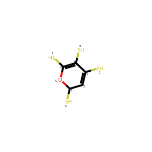 SC1=[C]C(S)OC(S)=C1S